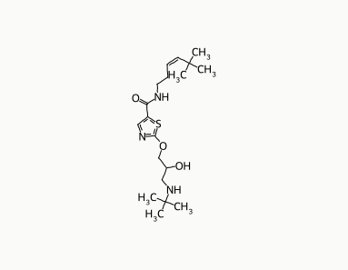 CC(C)(C)/C=C\CCNC(=O)c1cnc(OCC(O)CNC(C)(C)C)s1